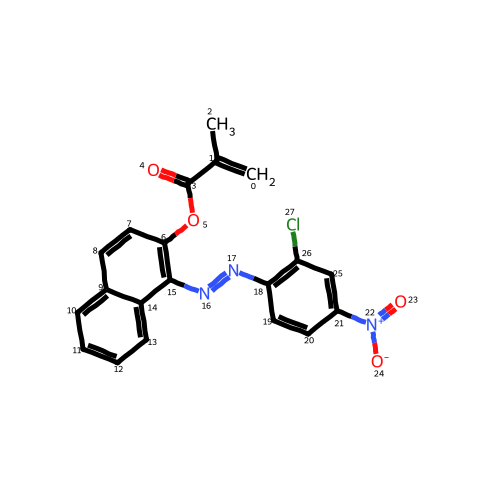 C=C(C)C(=O)Oc1ccc2ccccc2c1N=Nc1ccc([N+](=O)[O-])cc1Cl